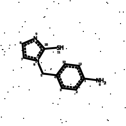 Nc1ccc(Cn2ccnc2S)cc1